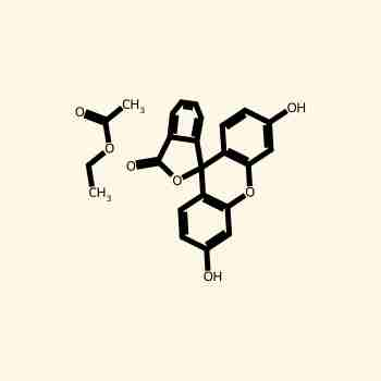 CCOC(C)=O.O=C1OC2(c3ccc(O)cc3Oc3cc(O)ccc32)c2ccccc21